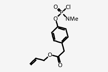 C=CCOC(=O)Cc1ccc(OP(=O)(Cl)NC)cc1